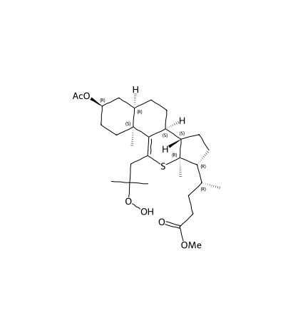 COC(=O)CC[C@@H](C)[C@H]1CC[C@H]2[C@@H]3CC[C@@H]4C[C@H](OC(C)=O)CC[C@]4(C)C3=C(CC(C)(C)OO)S[C@]12C